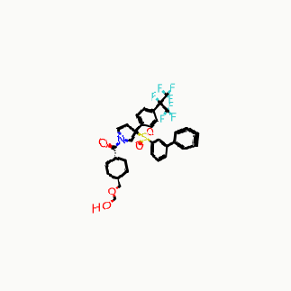 O=C([C@H]1CC[C@H](COCO)CC1)N1CCC(c2ccc(C(F)(C(F)(F)F)C(F)(F)F)cc2)(S(=O)(=O)c2cccc(-c3ccccc3)c2)C1